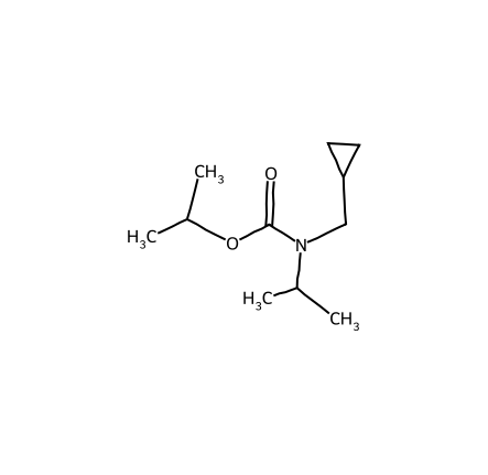 CC(C)OC(=O)N(CC1CC1)C(C)C